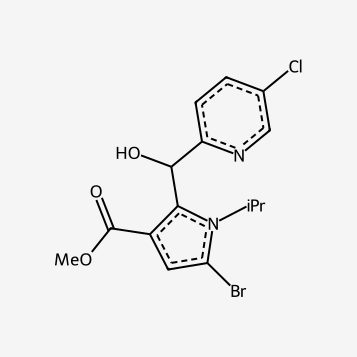 COC(=O)c1cc(Br)n(C(C)C)c1C(O)c1ccc(Cl)cn1